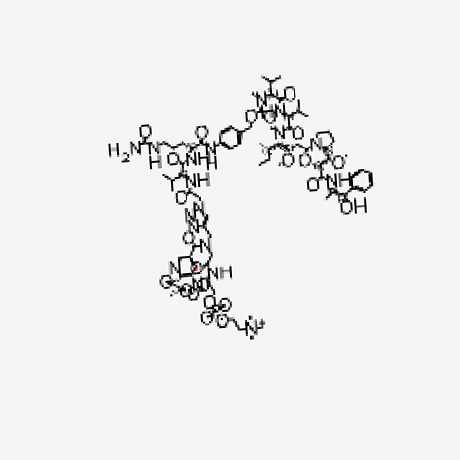 CC[C@H](C)[C@@H]([C@@H](CC(=O)N1CCC[C@H]1[C@H](OC)[C@@H](C)C(=O)N[C@H](C)[C@@H](O)c1ccccc1)OC)N(C)C(=O)[C@@H](NC(=O)[C@H](C(C)C)N(C)C(=O)OCc1ccc(NC(=O)[C@H](CCCNC(N)=O)NC(=O)[C@@H](NC(=O)Cn2cc(CN(CC(=O)NCCOP(=O)([O-])OCC[N+](C)(C)C)C(=O)c3cnc(S(C)(=O)=O)c([N+](=O)[O-])c3)nn2)C(C)C)cc1)C(C)C